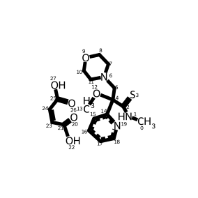 CNC(=S)C(CN1CCOCC1)(OC)c1ccccn1.O=C(O)/C=C\C(=O)O